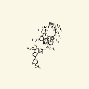 CC[C@H]1OC(=O)[C@H](C)[C@@H](O[C@H]2C[C@@](C)(OC)C[C@H](C)O2)C[C@@H](O[C@@H]2O[C@H](C)C[C@H](N(C)CCc3cn([C@H](CF)[C@H](OC)c4ccc(-c5ccc(C)nc5)cc4)nn3)[C@H]2O)[C@](C)(OC)C[C@@H](C)C(=O)[C@H](C)[C@@H](O)[C@]1(C)O